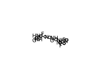 O=C1CCC(Nc2ccc(C3CCN([C@H]4CC[C@H](NC(=O)[C@H]5CC[C@H](Nc6ncc(F)c(-c7cccc(N8CCCCC8=O)c7)n6)CC5)CC4)CC3)c(F)c2)C(=O)N1